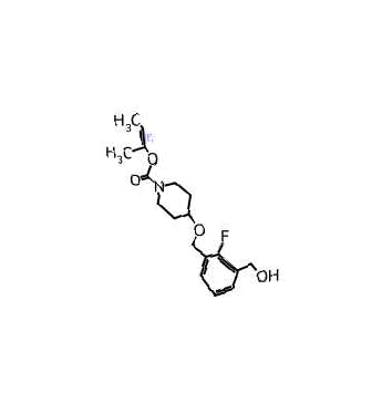 C/C=C(\C)OC(=O)N1CCC(OCc2cccc(CO)c2F)CC1